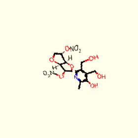 Cc1ncc(CO)c(CO)c1O.O=[N+]([O-])O[C@H]1CO[C@H]2[C@@H]1OC[C@H]2O[N+](=O)[O-]